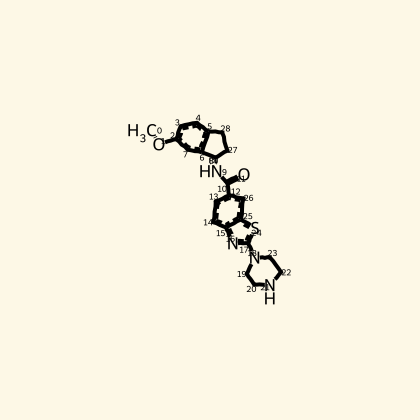 COc1ccc2c(c1)[C@@H](NC(=O)c1ccc3nc(N4CCNCC4)sc3c1)CC2